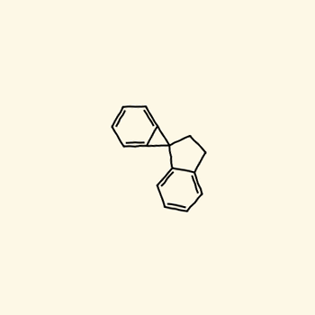 c1ccc2c(c1)CCC21c2ccccc21